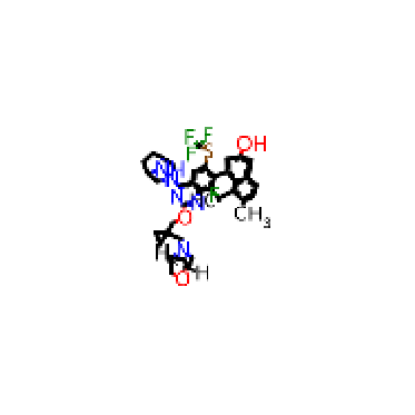 C#Cc1c(C)ccc2cc(O)cc(-c3c(SC(F)(F)F)cc4c(N5CC6CCC(C5)N6)nc(OCC5(CN6C[C@H]7C[C@@H]6CO7)CC5)nc4c3F)c12